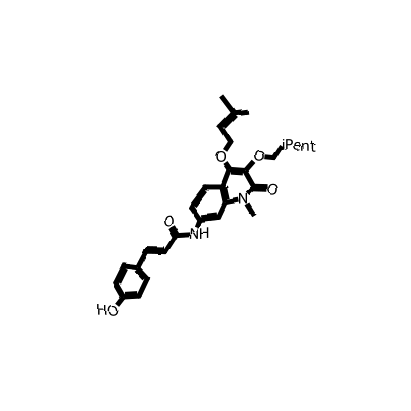 CCCC(C)COc1c(OCC=C(C)C)c2ccc(NC(=O)/C=C/c3ccc(O)cc3)cc2n(C)c1=O